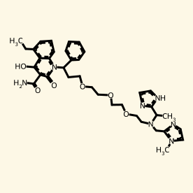 CCc1cccc2c1c(O)c(C(N)=O)c(=O)n2C(CCOCCOCCOCCN(Cc1nccn1C)C(C)c1ncc[nH]1)c1ccccc1